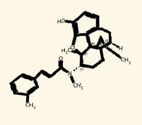 Cc1cccc(C=CC(=O)N(C)[C@H]2CCC3(O)[C@H]4Cc5ccc(O)c6c5[C@@]3(CCN4C)[C@@]2(C)O6)c1